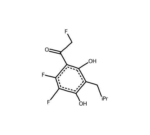 CC(C)Cc1c(O)c(F)c(F)c(C(=O)CF)c1O